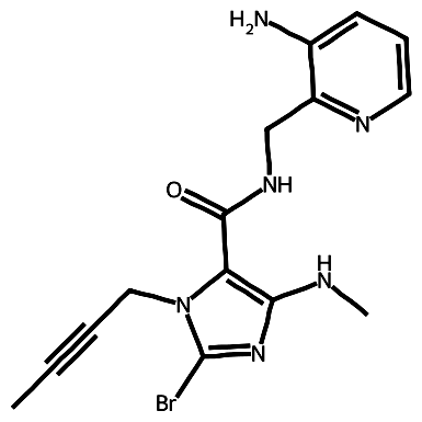 CC#CCn1c(Br)nc(NC)c1C(=O)NCc1ncccc1N